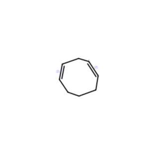 [C]1=C\CCC/C=C\C/1